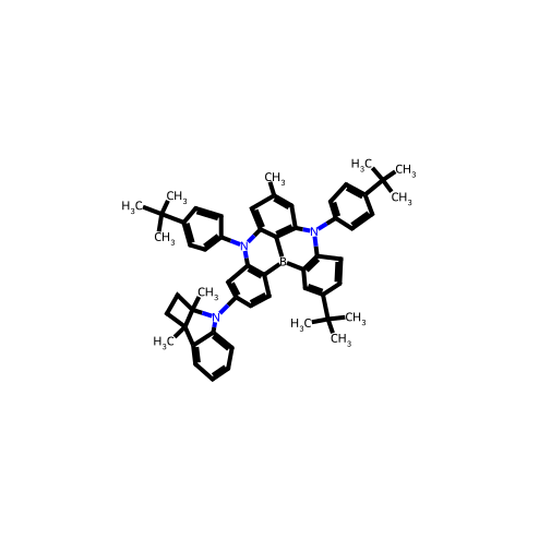 Cc1cc2c3c(c1)N(c1ccc(C(C)(C)C)cc1)c1cc(N4c5ccccc5C5(C)CCC45C)ccc1B3c1cc(C(C)(C)C)ccc1N2c1ccc(C(C)(C)C)cc1